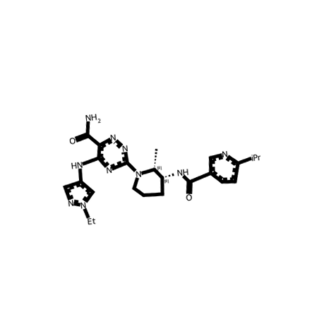 CCn1cc(Nc2nc(N3CCC[C@@H](NC(=O)c4ccc(C(C)C)nc4)[C@H]3C)nnc2C(N)=O)cn1